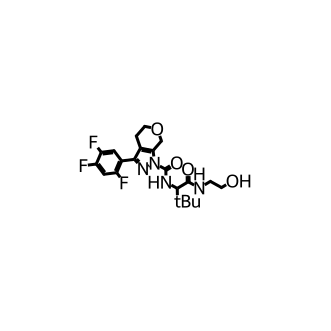 CC(C)(C)C(NC(=O)n1nc(-c2cc(F)c(F)cc2F)c2c1COCC2)C(=O)NCCO